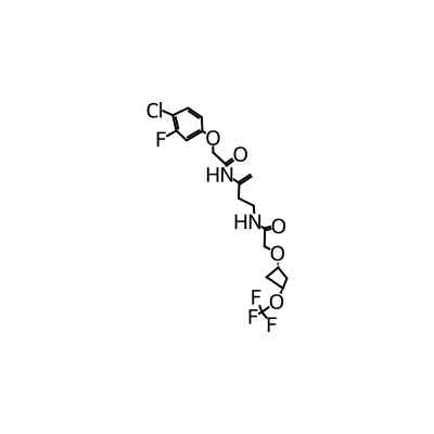 C=C(CCNC(=O)CO[C@H]1C[C@H](OC(F)(F)F)C1)NC(=O)COc1ccc(Cl)c(F)c1